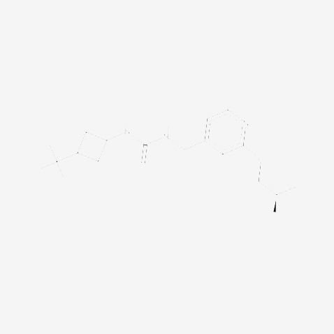 C[C@H](F)COc1cc(CNC(=O)NC2CC(C(F)(F)F)C2)ccn1